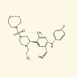 Cc1cc(Nc2ccc(F)cc2)c(C=N)cc1[C@@H]1CN(S(=O)(=O)N2CCOCC2)CCN1CCC(F)(F)F